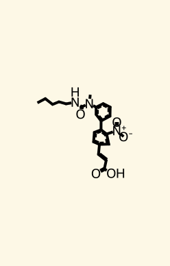 CCCCCNC(=O)N(C)c1cccc(-c2ccc(/C=C/C(=O)O)cc2[N+](=O)[O-])c1